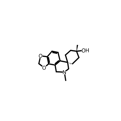 CN1Cc2c3c(ccc2[C@]2(CC[C@@](C)(O)CC2)C1)OCO3